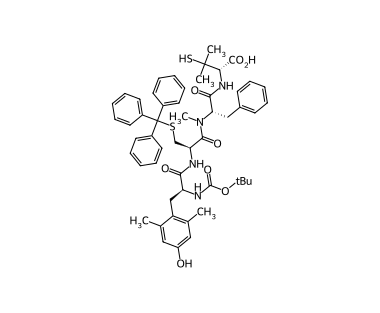 Cc1cc(O)cc(C)c1C[C@H](NC(=O)OC(C)(C)C)C(=O)N[C@@H](CSC(c1ccccc1)(c1ccccc1)c1ccccc1)C(=O)N(C)[C@@H](Cc1ccccc1)C(=O)N[C@@H](C(=O)O)C(C)(C)S